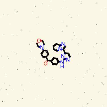 O=C(c1ccc(Nc2nccc(-c3cnc4ccccn34)n2)cc1)c1ccc(N2CCOCC2)cc1